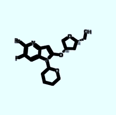 OC[C@@H]1C[C@H](Oc2cc3nc(Br)c(F)cc3n2C2CCCCO2)CO1